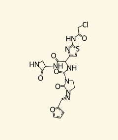 O=C(CCl)Nc1nc(C(NC(=O)N2CCN(N=Cc3ccco3)C2=O)C(=O)NC2CNC2=O)cs1